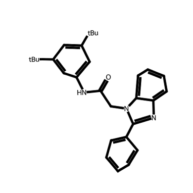 CC(C)(C)c1cc(NC(=O)Cn2c(-c3ccccc3)nc3ccccc32)cc(C(C)(C)C)c1